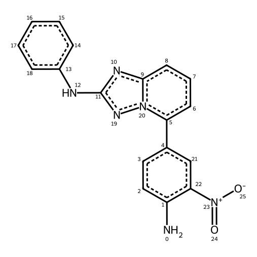 Nc1ccc(-c2cccc3nc(Nc4ccccc4)nn23)cc1[N+](=O)[O-]